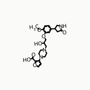 COc1ccc(C2CNC(=O)C2)cc1OCC(O)CN1CCN(c2ccoc2C(=O)O)CC1